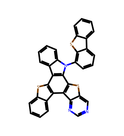 c1ccc2c(c1)sc1c(-n3c4ccccc4c4c5sc6ccccc6c5c5c6ncncc6sc5c43)cccc12